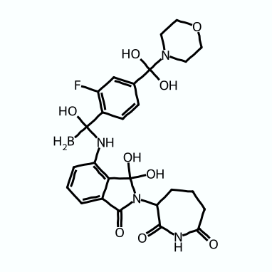 BC(O)(Nc1cccc2c1C(O)(O)N(C1CCCC(=O)NC1=O)C2=O)c1ccc(C(O)(O)N2CCOCC2)cc1F